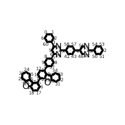 c1ccc(-c2cc(-c3ccc(-c4ccc(-c5cccc6oc7ccccc7c56)c5oc6ccccc6c45)cc3)nc(-c3ccc(-c4cnc(-c5ccccc5)nc4)cc3)n2)cc1